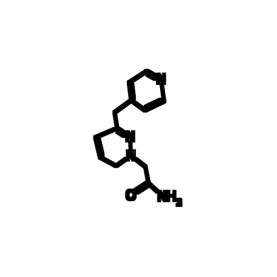 NC(=O)CN1CC=CC(Cc2ccncc2)=N1